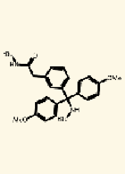 COc1ccc(C(NC(C)(C)C)(c2ccc(OC)cc2)c2cccc(CC(=O)NC(C)(C)C)c2)cc1